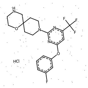 Cl.Fc1cccc(Oc2cc(C(F)(F)F)nc(N3CCC4(CC3)CNCCO4)n2)c1